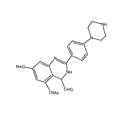 COc1cc2c(c(OC)c1)C(C=O)NC(c1ccc(N3CCNCC3)cc1)=N2